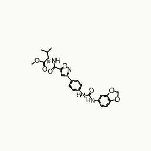 COC(=O)[C@@H](NC(=O)c1cc(-c2ccc(NC(=O)Nc3ccc4c(c3)OCO4)cc2)no1)C(C)C